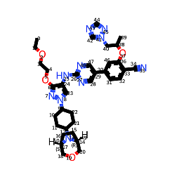 CCOCCOc1nn(C2CCC(N3[C@@H]4CC[C@H]3COC4)CC2)cc1Nc1ncc(-c2ccc(C#N)c(OC(C)Cn3cncn3)c2)cn1